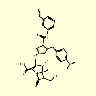 C[C@@H](O)[C@H]1C(=O)N2C(C(=O)O)=C(S[C@H]3C[C@@H](C(=O)Nc4cccc(C=O)c4)N(Cc4ccc(N(C)C)cc4)C3)[C@H](C)[C@H]12